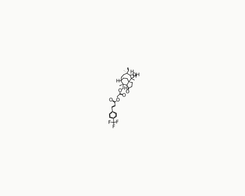 C=C[C@]1(C)CC[C@@H]2CC[C@]3(CCC(=O)[C@H]3[C@]2(C)COC(=O)COC(=O)/C=C/c2ccc(C(F)(F)F)cc2)[C@@H](C)[C@@H]1O